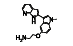 Cn1cc(-c2cc3cccnc3[nH]2)c2cc(OCCN)ccc21